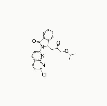 CC(C)OCC(=O)CC1c2ccccc2C(=O)N1c1ccc2ccc(Cl)nc2n1